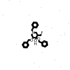 OC1(OCc2ccccc2)C(CF)CN(Cc2ccccc2)CC1OCc1ccccc1